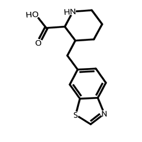 O=C(O)C1NCCCC1Cc1ccc2ncsc2c1